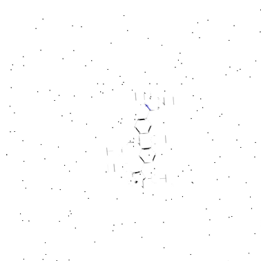 CCN(c1ccc(/C(C=N)=C/N)cc1)c1cc(-c2c(C)noc2C)ccc1C